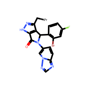 CC(C)Cc1n[nH]c2c1C(c1ccc(F)cc1Br)N(c1ccc3ncnn3c1)C2=O